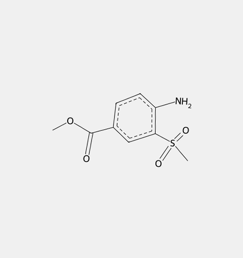 COC(=O)c1ccc(N)c(S(C)(=O)=O)c1